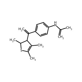 C=C(C)Nc1ccc(C(=C)C2C(C)=C(C)SC2C)cc1